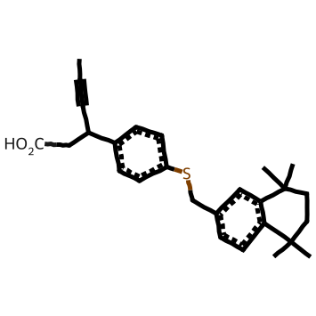 CC#CC(CC(=O)O)c1ccc(SCc2ccc3c(c2)C(C)(C)CCC3(C)C)cc1